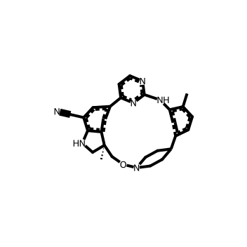 Cc1ccc2cc1Nc1nccc(n1)-c1cc(C#N)c3c(c1)[C@](C)(CN3)CON1CCC2CC1